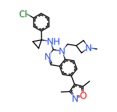 Cc1noc(C)c1-c1ccc2c(c1)C=NC(NC1(c3cccc(Cl)c3)CC1)N2CC1CN(C)C1